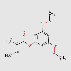 CCOc1cc(OCC)cc(OC(=O)C(C)CC)c1